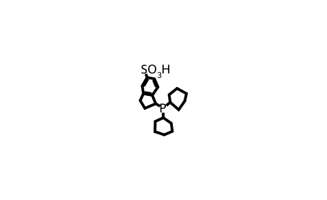 O=S(=O)(O)c1ccc2c(c1)CCC2P(C1CCCCC1)C1CCCCC1